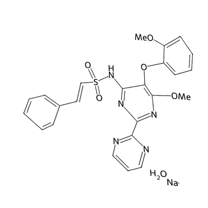 COc1ccccc1Oc1c(NS(=O)(=O)C=Cc2ccccc2)nc(-c2ncccn2)nc1OC.O.[Na]